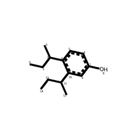 CCC(C)c1ccc(O)cc1C(C)CC